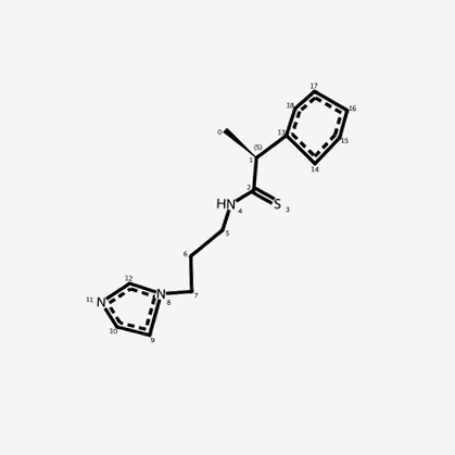 C[C@H](C(=S)NCCCn1ccnc1)c1ccccc1